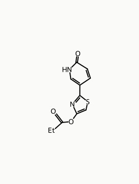 CCC(=O)Oc1csc(-c2ccc(=O)[nH]c2)n1